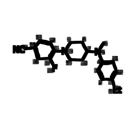 CCc1ccc(N(C)C2CCN(c3ccc(C#N)cc3F)CC2)cc1